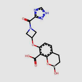 O=C(O)c1c(OC2CN(C(=O)c3nc[nH]n3)C2)ccc2c1OB(O)CC2